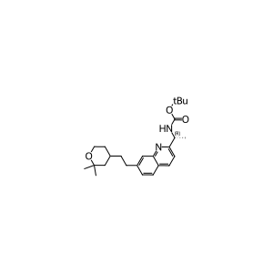 C[C@@H](NC(=O)OC(C)(C)C)c1ccc2ccc(CCC3CCOC(C)(C)C3)cc2n1